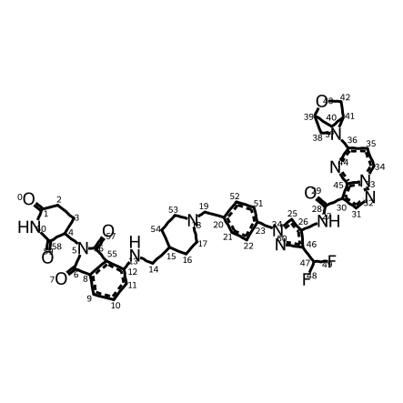 O=C1CCC(N2C(=O)c3cccc(NCC4CCN(Cc5ccc(-n6cc(NC(=O)c7cnn8ccc(N9CC%10CC9CO%10)nc78)c(C(F)F)n6)cc5)CC4)c3C2=O)C(=O)N1